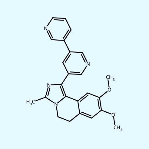 COc1cc2c(cc1OC)-c1c(-c3cncc(-c4cccnc4)c3)nc(C)n1CC2